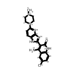 CN1CCN(c2ccc3[nH]c(-c4c(N)c5cc(Cl)ccc5[nH]c4=O)nc3n2)CC1